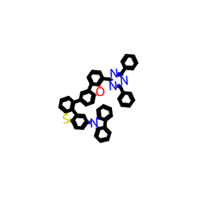 c1ccc(-c2nc(-c3ccccc3)nc(-c3cccc4c3oc3ccc(-c5cccc6sc7ccc(-n8c9ccccc9c9ccccc98)cc7c56)cc34)n2)cc1